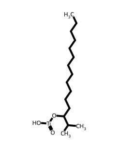 CCCCCCCCCCCCC([O][Ti](=[O])[OH])C(C)C